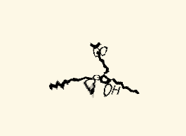 C=CCCCCCCCCC(=O)O[C@H]1C[C@@H](O)[C@H](/C=C/CCCCCC)[C@H]1C/C=C\CCCC(=O)OC(C)C